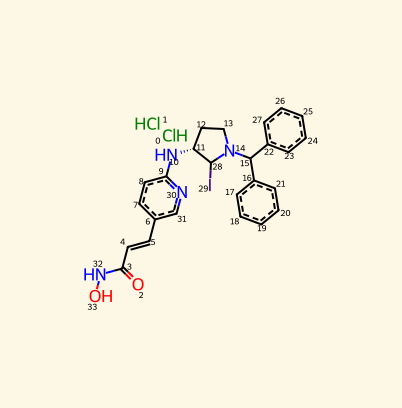 Cl.Cl.O=C(C=Cc1ccc(N[C@@H]2CCN(C(c3ccccc3)c3ccccc3)C2I)nc1)NO